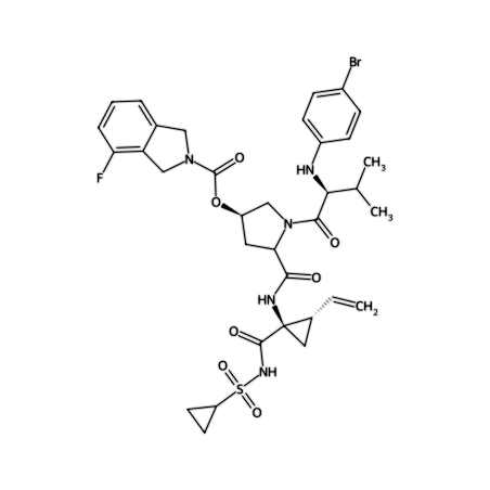 C=C[C@@H]1C[C@]1(NC(=O)C1C[C@@H](OC(=O)N2Cc3cccc(F)c3C2)CN1C(=O)[C@@H](Nc1ccc(Br)cc1)C(C)C)C(=O)NS(=O)(=O)C1CC1